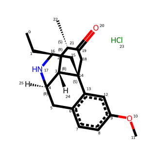 CC[C@@H]1[C@H]2[C@H]3Cc4ccc(OC)cc4[C@@]2(CCN3)CC(=O)[C@H]1C.Cl